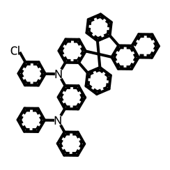 Clc1cccc(N(c2cccc(N(c3ccccc3)c3ccccc3)c2)c2cccc3c2-c2ccccc2C32c3ccccc3-c3c2ccc2ccccc32)c1